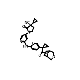 N#C[C@@]1(C2CC2)CCN(c2ccnc(Nc3ccc(C4(C(=O)N5C6CCC5COC6)CC4)cn3)c2)C1=O